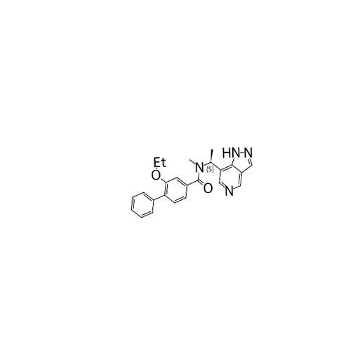 CCOc1cc(C(=O)N(C)[C@@H](C)c2cncc3cn[nH]c23)ccc1-c1ccccc1